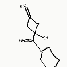 C=C1CC(C#N)(C(=N)N2CCOCC2)C1